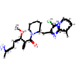 C=C(C(=O)N1CCCC[C@H]1Cc1nc2c(C)cccn2c1Cl)/C(=C\C=C(\C)N)OCC